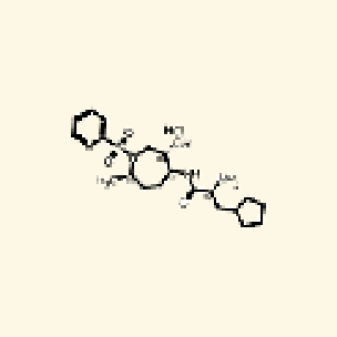 C[C@@H]1CC[C@H](NC(=O)[C@@H](N)CC2CCCC2)[C@@H](O)CN1S(=O)(=O)c1ccccn1.Cl